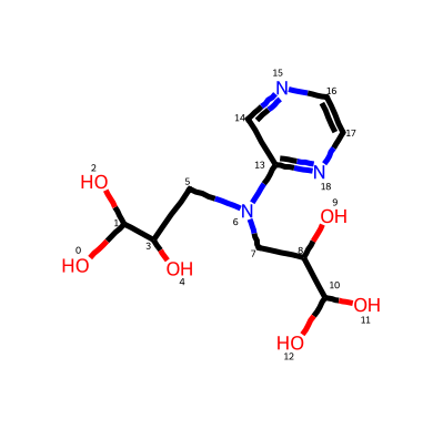 OC(O)C(O)CN(CC(O)C(O)O)c1cnccn1